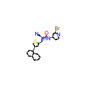 N#C/C(=C\c1cc(-c2cccc3ccccc23)cs1)C(=O)Nc1ccnc(Br)c1